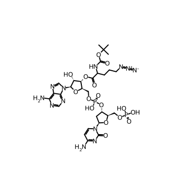 CC(C)(C)OC(=O)NC(CCCN=[N+]=[N-])C(=O)O[C@H]1[C@@H](O)[C@H](n2cnc3c(N)ncnc32)O[C@@H]1COP(=O)(O)O[C@H]1C[C@H](n2ccc(N)nc2=O)O[C@@H]1COP(=O)(O)O